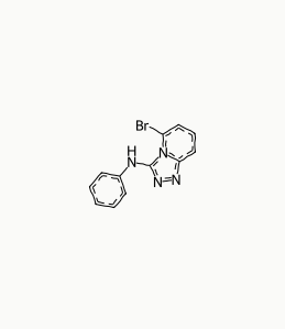 Brc1cccc2nnc(Nc3ccccc3)n12